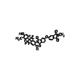 Cc1cc(C(c2ccc(O)c(N3C(=O)c4ccc(Oc5ccc6c(c5)C(=O)N(C)C6=O)cc4C3=O)c2)(C(F)(F)F)C(F)(F)F)ccc1O